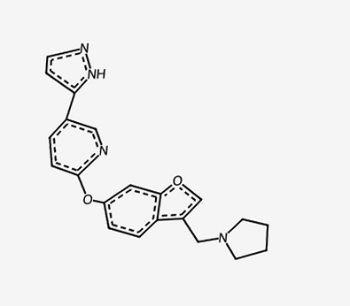 c1cc(-c2ccc(Oc3ccc4c(CN5CCCC5)coc4c3)nc2)[nH]n1